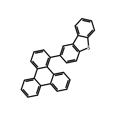 [c]1c(-c2cccc3c4ccccc4c4ccccc4c23)ccc2sc3ccccc3c12